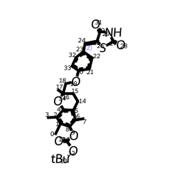 Cc1c(C)c2c(c(C)c1OC(=O)OC(C)(C)C)CCC(C)(COc1ccc(/C=C3\SC(=O)NC3=O)cc1)O2